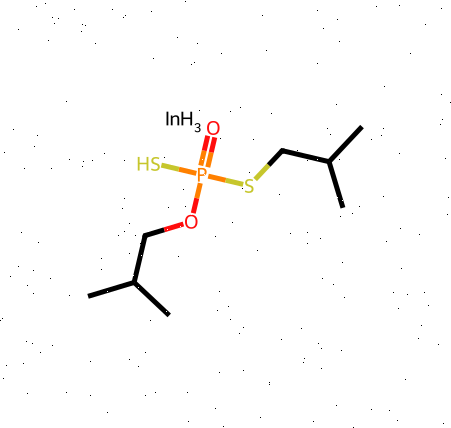 CC(C)COP(=O)(S)SCC(C)C.[InH3]